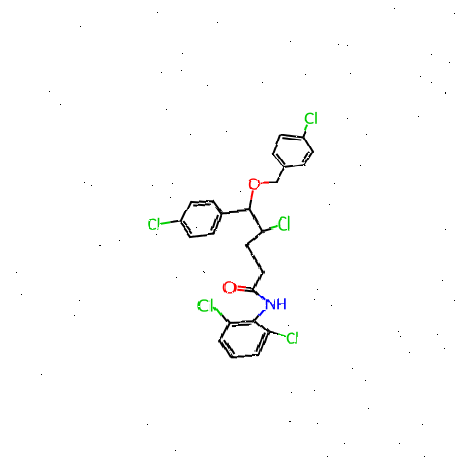 O=C(CCC(Cl)C(OCc1ccc(Cl)cc1)c1ccc(Cl)cc1)Nc1c(Cl)cccc1Cl